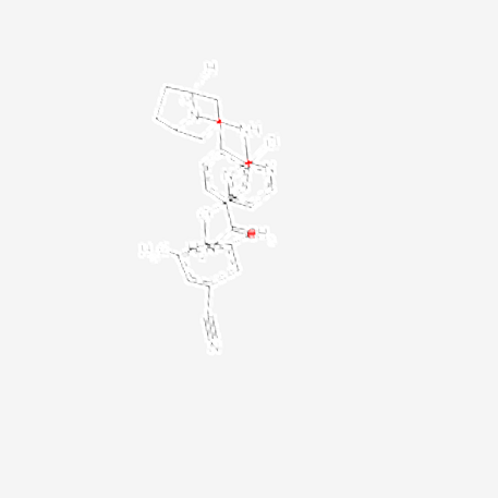 Cc1cc(C#N)cc(C)c1Oc1ccnc(NC2CC3CC[C@@H](C2)N3Cc2ccc(C(N)=O)cc2Cl)n1